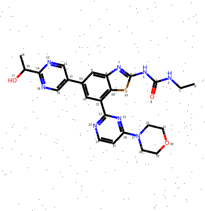 CCNC(=O)Nc1nc2cc(-c3cnc(C(C)O)nc3)cc(-c3nccc(N4CCOCC4)n3)c2s1